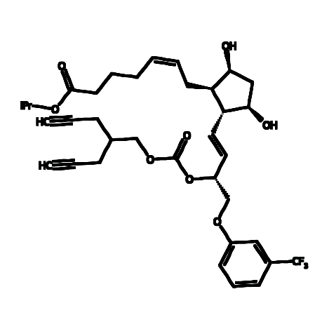 C#CCC(CC#C)COC(=O)O[C@H](/C=C/[C@@H]1[C@@H](C/C=C\CCCC(=O)OC(C)C)[C@@H](O)C[C@H]1O)COc1cccc(C(F)(F)F)c1